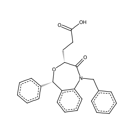 O=C(O)CC[C@H]1O[C@@H](c2ccccc2)c2ccccc2N(Cc2ccccc2)C1=O